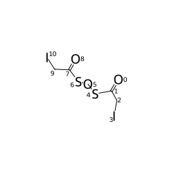 O=C(CI)SOSC(=O)CI